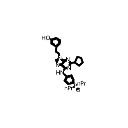 CCCP(=O)(CCC)c1ccc(Nc2nc(C3CCCC3)nc3c2ncn3CCc2cccc(O)c2)cc1